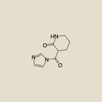 O=C1NCCCC1C(=O)n1ccnc1